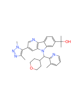 Cc1cccnc1C(C1CCOCC1)n1c2cc(C(C)(C)O)ccc2c2ncc(-c3c(C)nnn3C)cc21